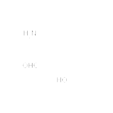 CC(O)C(C)C(N)[C]=O